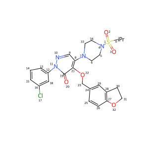 CC(C)S(=O)(=O)N1CCN(c2cnn(-c3cccc(Cl)c3)c(=O)c2OCc2ccc3c(c2)CCO3)CC1